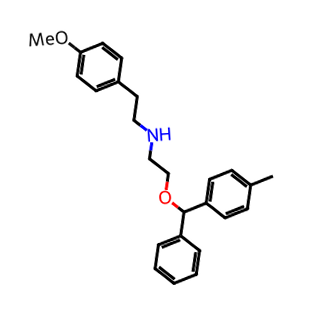 COc1ccc(CCNCCOC(c2ccccc2)c2ccc(C)cc2)cc1